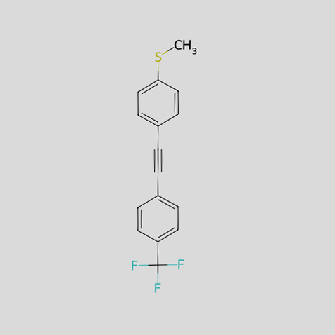 CSc1ccc(C#Cc2ccc(C(F)(F)F)cc2)cc1